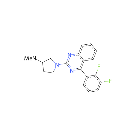 CNC1CCN(c2nc(-c3cccc(F)c3F)c3ccccc3n2)C1